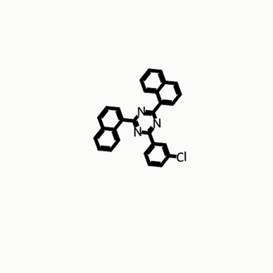 Clc1cccc(-c2nc(-c3cccc4ccccc34)nc(-c3cccc4ccccc34)n2)c1